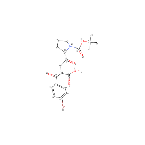 COC(=O)C(CC(=O)[C@@H]1CCCN1C(=O)OC(C)(C)C)C(=O)c1ccc(Br)cc1